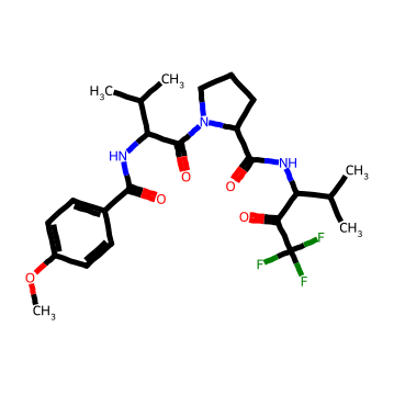 COc1ccc(C(=O)NC(C(=O)N2CCCC2C(=O)NC(C(=O)C(F)(F)F)C(C)C)C(C)C)cc1